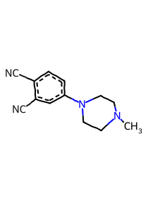 CN1CCN(c2ccc(C#N)c(C#N)c2)CC1